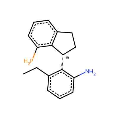 CCc1cccc(N)c1[C@H]1CCc2cccc(P)c21